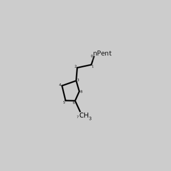 CCCCCCCC1CCC(C)C1